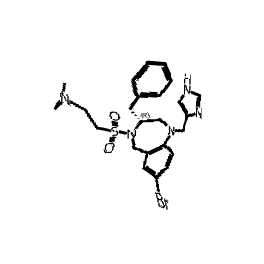 CN(C)CCS(=O)(=O)N1Cc2cc(Br)ccc2N(Cc2c[nH]cn2)C[C@H]1Cc1ccccc1